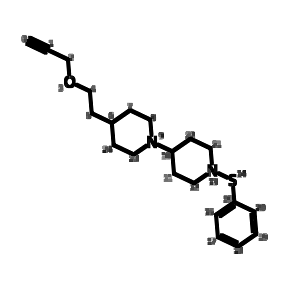 C#CCOCCC1CCN(C2CCN(Sc3ccccc3)CC2)CC1